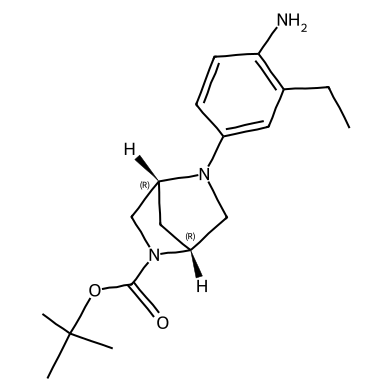 CCc1cc(N2C[C@H]3C[C@@H]2CN3C(=O)OC(C)(C)C)ccc1N